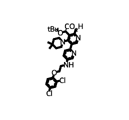 Cc1ncc(-c2ccc(NCCOc3ccc(Cl)cc3Cl)cn2)c(N2CCC(C)(C)CC2)c1[C@H](OC(C)(C)C)C(=O)O